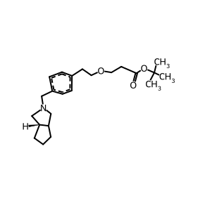 CC(C)(C)OC(=O)CCOCCc1ccc(CN2CC3CCC[C@@H]3C2)cc1